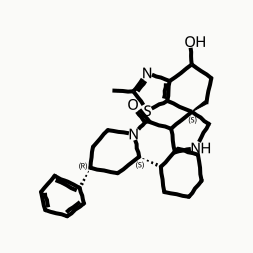 Cc1nc2c(s1)[C@]1(CCC2O)CNCC1C(=O)N1CC[C@@H](c2ccccc2)C[C@H]1C1CCCCC1